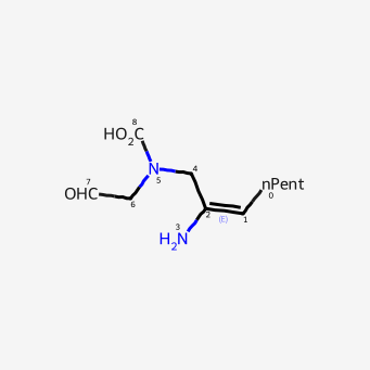 CCCCC/C=C(/N)CN(CC=O)C(=O)O